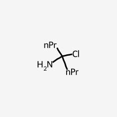 CCCC(N)(Cl)CCC